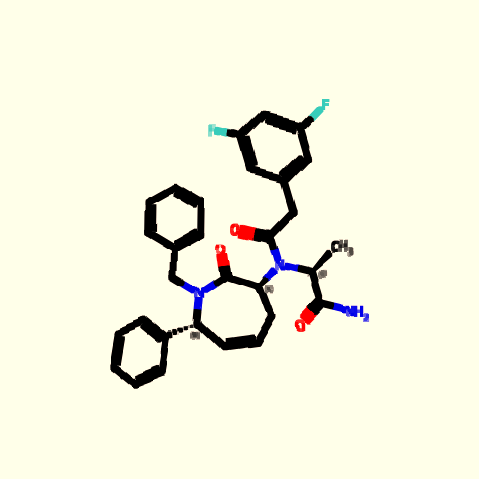 C[C@@H](C(N)=O)N(C(=O)Cc1cc(F)cc(F)c1)[C@H]1CC=C[C@H](c2ccccc2)N(Cc2ccccc2)C1=O